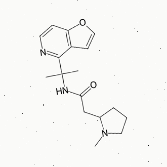 CN1CCCC1CC(=O)NC(C)(C)c1nccc2occc12